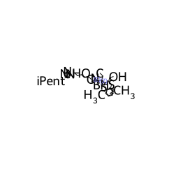 BC(=N\OCCCCCn1cc(C(C)CCC)nn1)/C(CC(=O)O)=C1\Sc2c(C)ccc(C)c2SC1CO